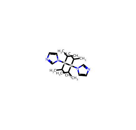 CC(C)[Si](C(C)C)(n1ccnc1)[Si](C(C)C)(C(C)C)n1ccnc1